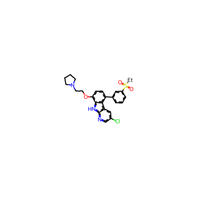 CCS(=O)(=O)c1cccc(-c2ccc(OCCN3CCCC3)c3[nH]c4ncc(Cl)cc4c23)c1